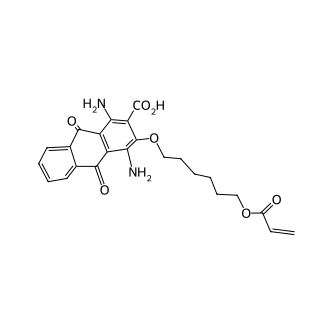 C=CC(=O)OCCCCCCOc1c(N)c2c(c(N)c1C(=O)O)C(=O)c1ccccc1C2=O